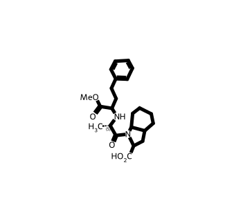 COC(=O)C(CCc1ccccc1)N[C@@H](C)C(=O)N1C(C(=O)O)CC2CCCCC21